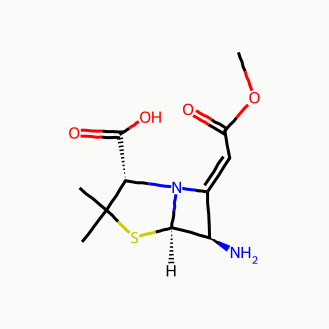 COC(=O)/C=C1/[C@@H](N)[C@H]2SC(C)(C)[C@H](C(=O)O)N12